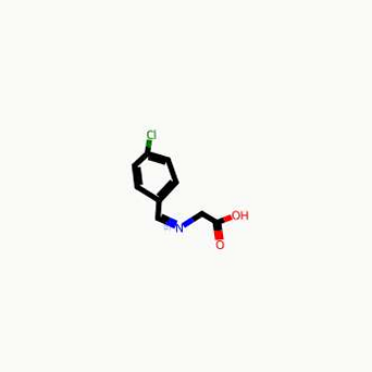 O=C(O)C/N=C\c1ccc(Cl)cc1